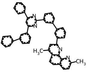 Cc1ccc2ccc3c(C)cc(-c4cccc(-c5cccc(-c6nc(-c7ccccc7)cc(-c7cccc(-c8ccccc8)c7)n6)c5)c4)nc3c2n1